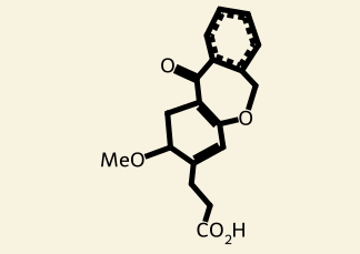 COC1CC2=C(C=C1CCC(=O)O)OCc1ccccc1C2=O